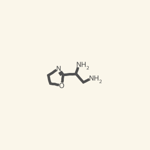 NCC(N)C1=NCCO1